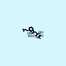 C=C(C)CCc1cccc2c(Cc3c(OC)nc(C)c(=O)n3O)c[nH]c12